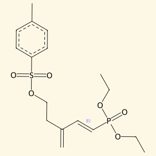 C=C(/C=C/P(=O)(OCC)OCC)CCOS(=O)(=O)c1ccc(C)cc1